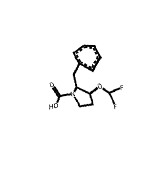 O=C(O)N1CCC(OC(F)F)C1Cc1ccccc1